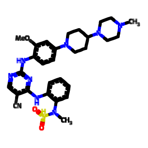 COc1cc(N2CCC(N3CCN(C)CC3)CC2)ccc1Nc1ncc(C#N)c(Nc2ccccc2N(C)[SH](=O)=O)n1